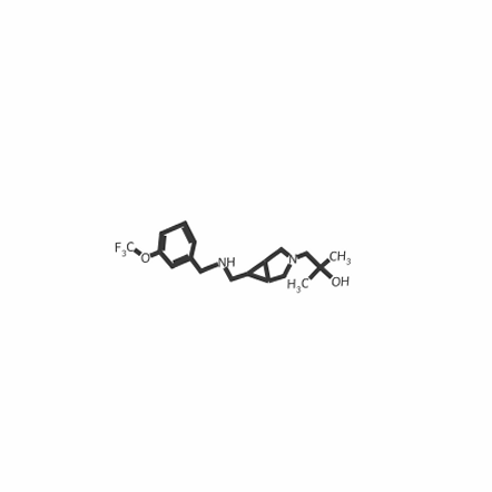 CC(C)(O)CN1CC2C(CNCc3cccc(OC(F)(F)F)c3)C2C1